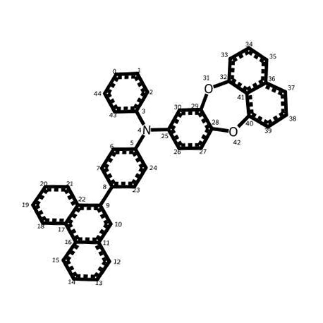 c1ccc(N(c2ccc(-c3cc4ccccc4c4ccccc34)cc2)c2ccc3c(c2)Oc2cccc4cccc(c24)O3)cc1